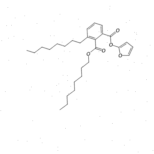 CCCCCCCCOC(=O)c1c(CCCCCCCC)cccc1C(=O)Oc1ccco1